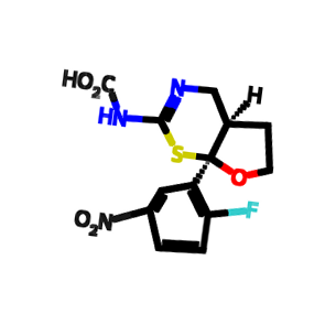 O=C(O)NC1=NC[C@H]2CCO[C@@]2(c2cc([N+](=O)[O-])ccc2F)S1